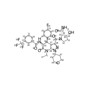 CCN1C(=O)[C@@H](NC(=O)c2cccc(C(F)(F)F)c2)[C@@H](c2ccc(F)cc2)c2c(C(=O)N3CC[C@@H](O)[C@H]3C(N)=O)nn(C3CCOCC3)c21